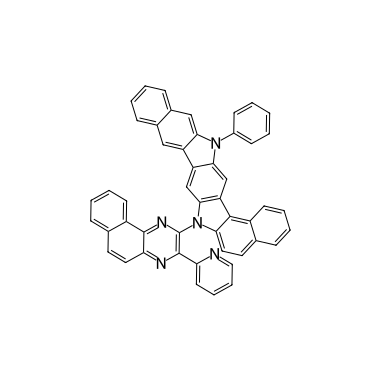 c1ccc(-n2c3cc4ccccc4cc3c3cc4c(cc32)c2c3ccccc3ccc2n4-c2nc3c(ccc4ccccc43)nc2-c2ccccn2)cc1